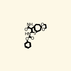 NC(=O)C1=C(NC(=O)Oc2ccccc2)SC2C=C1CCC1(C2)OCCO1